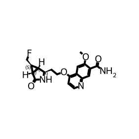 COc1cc2c(OCC[C@H]3NC(=O)[C@@H]4[C@@H](CF)[C@@H]43)ccnc2cc1C(N)=O